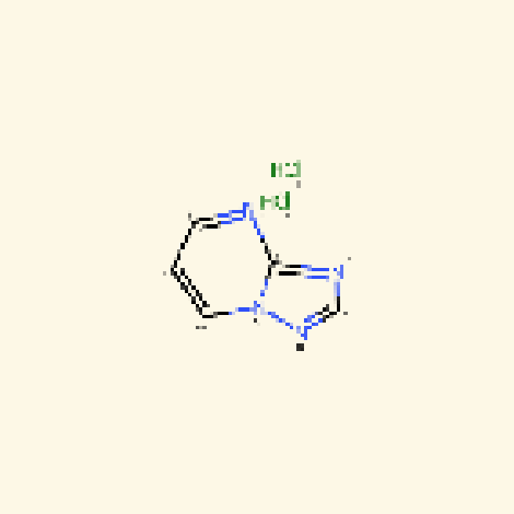 Cl.Cl.c1cnc2ncnn2c1